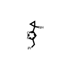 CC(C)Cc1cc(C2([NH])CC2)on1